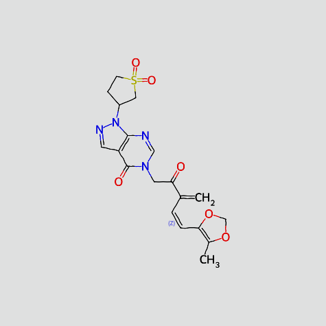 C=C(/C=C\C1=C(C)OCO1)C(=O)Cn1cnc2c(cnn2C2CCS(=O)(=O)C2)c1=O